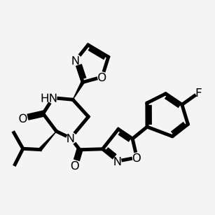 CC(C)C[C@H]1C(=O)N[C@@H](c2ncco2)CN1C(=O)c1cc(-c2ccc(F)cc2)on1